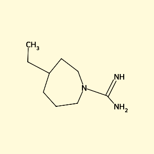 CCC1CCCN(C(=N)N)CC1